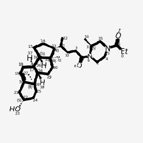 CCC(=O)N1CCN(C(=O)CCC(C)[C@H]2CC[C@H]3[C@@H]4CC=C5C[C@@H](O)CC[C@]5(C)[C@H]4CC[C@]23C)[C@@H](C)C1